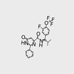 CC(C)[C@@H](NC(=O)c1cc(=O)[nH]c(-c2ccccc2)n1)c1ccc(OC(F)(F)F)c(F)c1